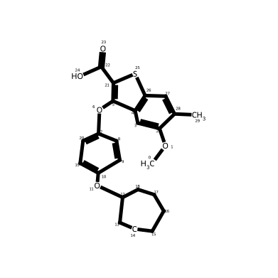 COc1cc2c(Oc3ccc(OC4CCCCCC4)cc3)c(C(=O)O)sc2cc1C